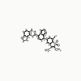 CC1=C(C)S(=O)(=O)c2c(F)cc(-c3cnc(NCc4c(F)ccc5c4CCO5)n4cnnc34)cc21